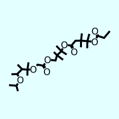 CCC(=O)OC(C)(C)C(C)(C)CC(=O)OC(C)(C)C(C)(C)COC(=O)COC(C)(C)C(C)C(C)OC(C)C